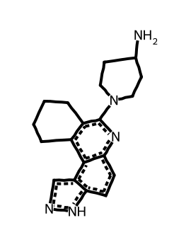 NC1CCN(c2nc3ccc4[nH]ncc4c3c3c2CCCC3)CC1